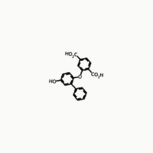 O=C(O)c1ccc(C(=O)O)c(Oc2ccc(O)cc2-c2ccccc2)c1